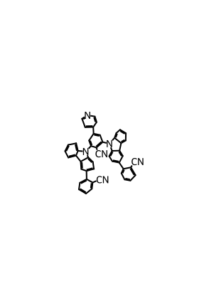 N#Cc1ccccc1-c1ccc2c(c1)c1ccccc1n2-c1cc(-c2ccncc2)cc(-n2c3ccccc3c3cc(-c4ccccc4C#N)ccc32)c1C#N